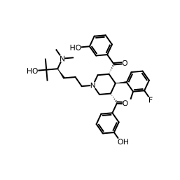 Cc1c(F)cccc1[C@@H]1[C@@H](C(=O)c2cccc(O)c2)CN(CCC[C@H](N(C)C)C(C)(C)O)C[C@H]1C(=O)c1cccc(O)c1